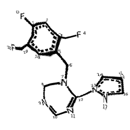 Fc1cc(F)c(CN2CN=CN=C2n2cccn2)cc1F